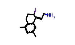 Cc1cc(C)c2c(c1)C(=CCN)C(I)CC2